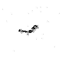 CC(C)(C)OC(=O)CCCCCNc1ccc(C(=O)N2CCC3(CCCC(=O)NC3=O)C2)cc1